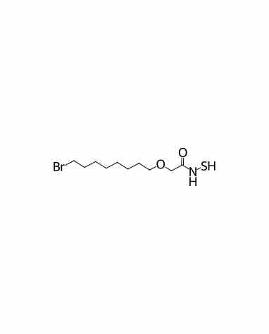 O=C(COCCCCCCCCBr)NS